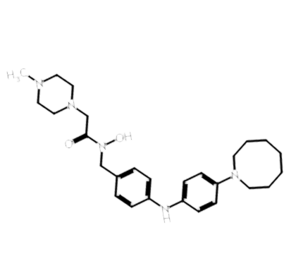 CN1CCN(CC(=O)N(O)Cc2ccc(Nc3ccc(N4CCCCCCC4)cc3)cc2)CC1